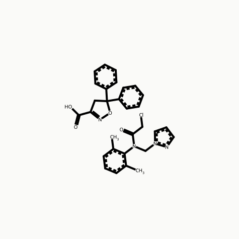 Cc1cccc(C)c1N(Cn1cccn1)C(=O)CCl.O=C(O)C1=NOC(c2ccccc2)(c2ccccc2)C1